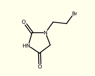 O=C1CN(CCBr)C(=O)N1